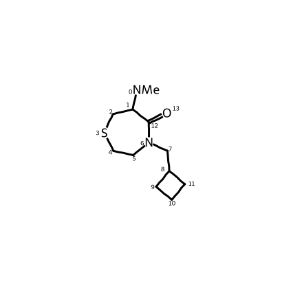 CNC1CSCCN(CC2CCC2)C1=O